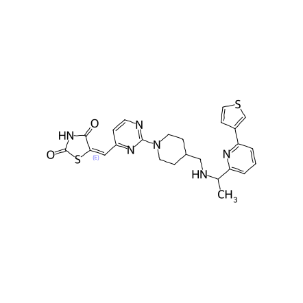 CC(NCC1CCN(c2nccc(/C=C3/SC(=O)NC3=O)n2)CC1)c1cccc(-c2ccsc2)n1